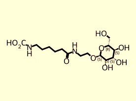 O=C(O)NCCCCCC(=O)NCCO[C@H]1O[C@H](CO)[C@@H](O)[C@H](O)[C@@H]1O